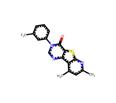 Cc1cc(C)c2c(n1)sc1c(=O)n(-c3cccc(C(F)(F)F)c3)cnc12